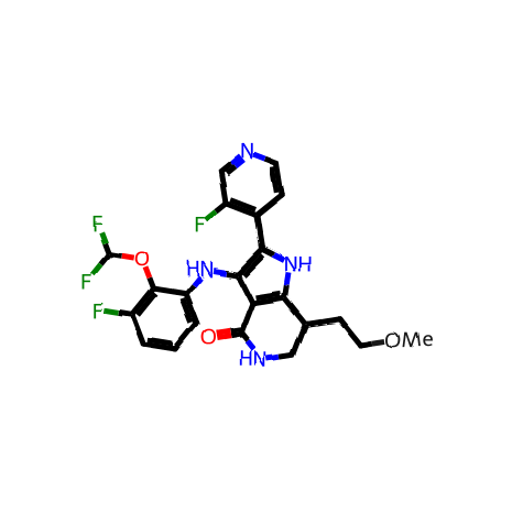 COCCC1CNC(=O)c2c1[nH]c(-c1ccncc1F)c2Nc1cccc(F)c1OC(F)F